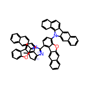 CC1C/C=C(c2cccc3c2oc2ccccc23)/N=C(c2ccc(-n3c4cc5ccccc5cc4c4ccc5ccccc5c43)c3oc4cc5ccccc5cc4c23)\N=C/1c1ccc2ccccc2c1